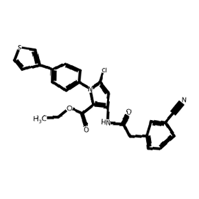 CCOC(=O)c1c(NC(=O)Cc2cccc(C#N)c2)cc(Cl)n1-c1ccc(-c2ccsc2)cc1